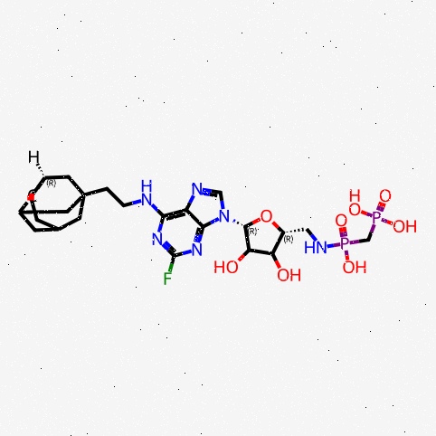 O=P(O)(O)CP(=O)(O)NC[C@H]1O[C@@H](n2cnc3c(NCCC45CC6CC[C@H](CC(C6)C4)C5)nc(F)nc32)C(O)C1O